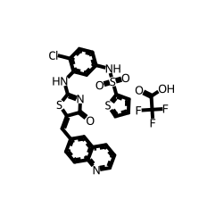 O=C(O)C(F)(F)F.O=C1N=C(Nc2cc(NS(=O)(=O)c3cccs3)ccc2Cl)SC1=Cc1ccc2ncccc2c1